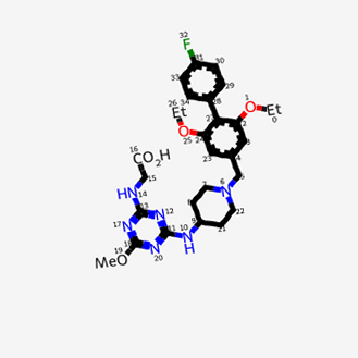 CCOc1cc(CN2CCC(Nc3nc(NCC(=O)O)nc(OC)n3)CC2)cc(OCC)c1-c1ccc(F)cc1